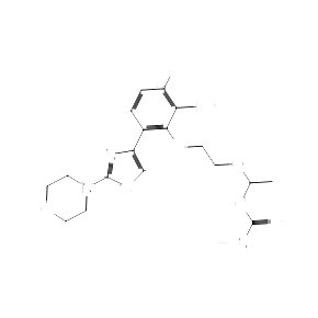 CC(OCCOc1c(-c2csc(N3CCOCC3)n2)ccc(F)c1F)OC(N)=O